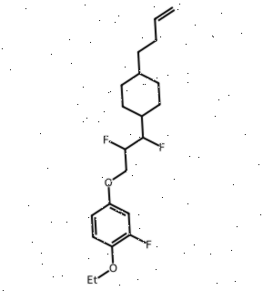 C=CCCC1CCC(C(F)C(F)COc2ccc(OCC)c(F)c2)CC1